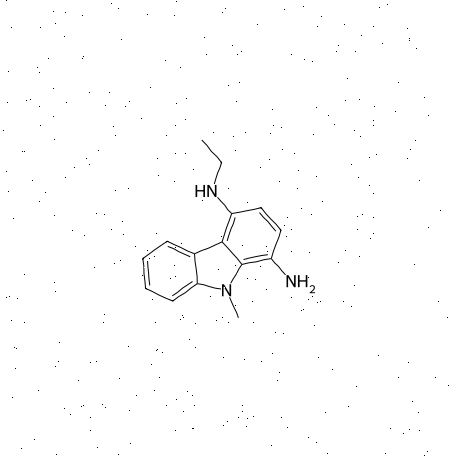 CCNc1ccc(N)c2c1c1ccccc1n2C